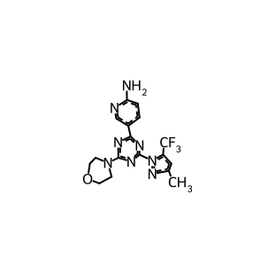 Cc1cc(C(F)(F)F)n(-c2nc(-c3ccc(N)nc3)nc(N3CCOCC3)n2)n1